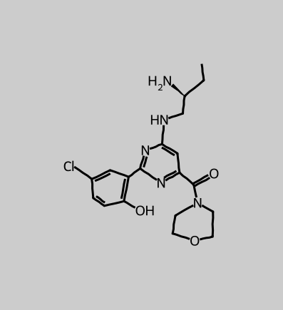 CC[C@H](N)CNc1cc(C(=O)N2CCOCC2)nc(-c2cc(Cl)ccc2O)n1